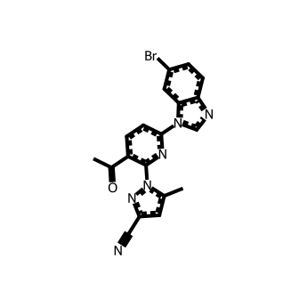 CC(=O)c1ccc(-n2cnc3ccc(Br)cc32)nc1-n1nc(C#N)cc1C